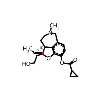 C/C=C\[C@@]12CCN(C)Cc3ccc(OC(=O)C4CC4)c(c31)OC2CCO